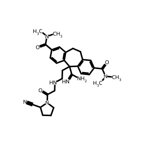 CN(C)C(=O)c1ccc2c(c1)CCc1cc(C(=O)N(C)C)ccc1C2(CCNCC(=O)N1CCCC1C#N)C(=N)N